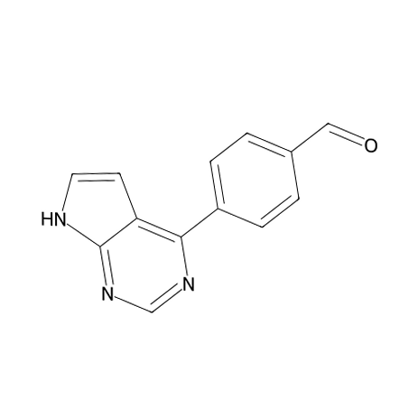 O=Cc1ccc(-c2ncnc3[nH]ccc23)cc1